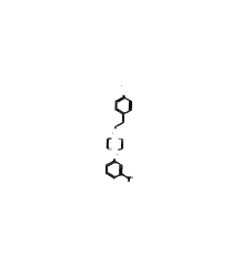 Nc1ccc(CCN2CCN(c3cccc(C(F)F)c3)CC2)cc1